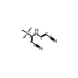 C[Si](C)(C)C(=CC#N)NC=CC#N